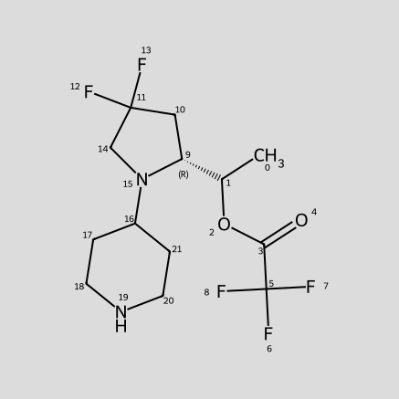 CC(OC(=O)C(F)(F)F)[C@H]1CC(F)(F)CN1C1CCNCC1